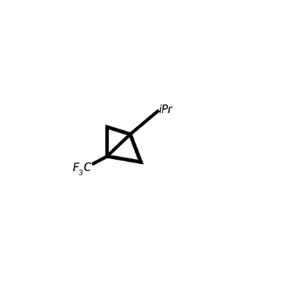 CC(C)C12CC1(C(F)(F)F)C2